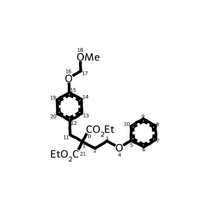 CCOC(=O)C(CCOc1ccccc1)(Cc1ccc(OCOC)cc1)C(=O)OCC